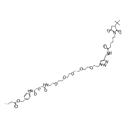 CCCC(=O)OCc1ccc(NC(=O)COCC(=O)NCCOCCOCCOCCOCCOCCn2cc(CNC(=O)CCCCCN3C(=O)CC(C(C)(C)C)C3=O)nn2)cc1